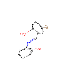 Oc1ccc(Br)cc1/C=N/c1ccccc1O